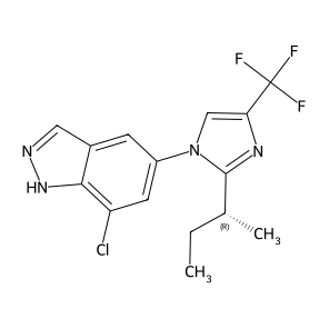 CC[C@@H](C)c1nc(C(F)(F)F)cn1-c1cc(Cl)c2[nH]ncc2c1